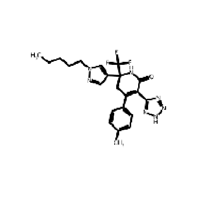 CCCCCn1cc(C2(C(F)(F)F)CC(c3ccc(C)cc3)=C(c3nn[nH]n3)C(=O)N2)cn1